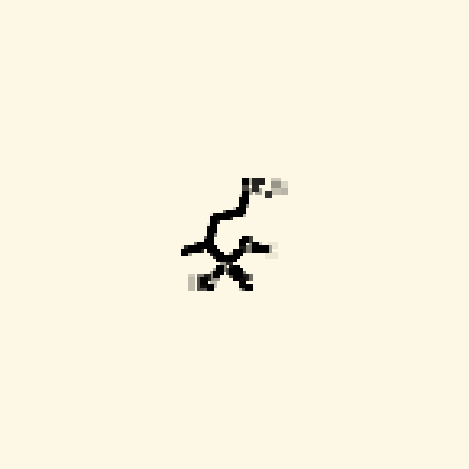 CCOC(=O)CCC(C)P(=O)(O)OCC